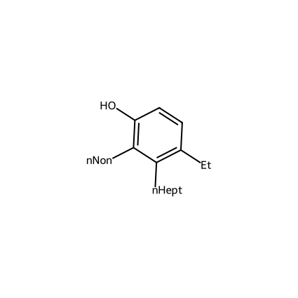 CCCCCCCCCc1c(O)ccc(CC)c1CCCCCCC